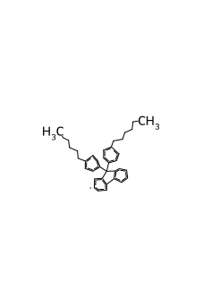 CCCCCCc1ccc(C2(c3ccc(CCCCCC)cc3)c3c[c]ccc3-c3ccccc32)cc1